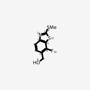 CSc1nc2ccc(CO)c(F)c2s1